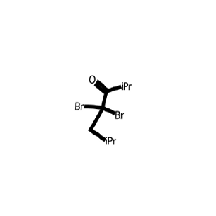 CC(C)CC(Br)(Br)C(=O)C(C)C